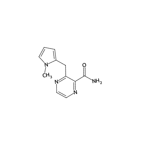 Cn1cccc1Cc1nccnc1C(N)=O